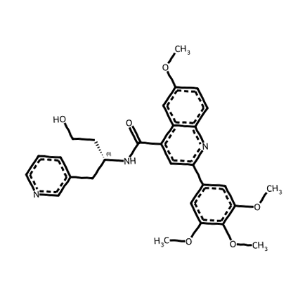 COc1ccc2nc(-c3cc(OC)c(OC)c(OC)c3)cc(C(=O)N[C@@H](CCO)Cc3cccnc3)c2c1